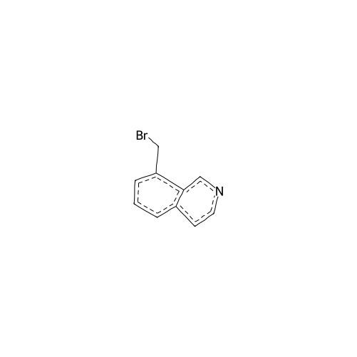 BrCc1cccc2ccncc12